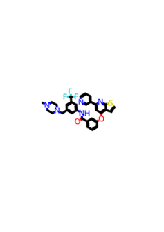 CN1CCN(Cc2cc(NC(=O)c3cccc(Oc4cc(-c5cccnc5)nc5sccc45)c3)cc(C(F)(F)F)c2)CC1